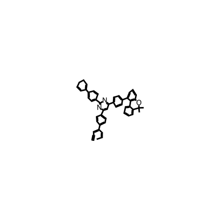 C#C/C=C(\C=C/C)c1ccc(-c2cc(-c3ccc(-c4cccc5c4-c4ccccc4C(C)(C)O5)cc3)nc(-c3ccc(C4=CCCC=C4)cc3)n2)cc1